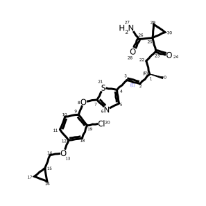 C[C@@H](/C=C/c1cnc(Oc2ccc(OCC3CC3)cc2Cl)s1)CC(=O)C1(C(N)=O)CC1